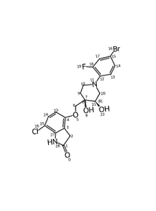 O=C1Cc2c(OC[C@]3(O)CCN(c4ccc(Br)cc4F)C[C@H]3O)ccc(Cl)c2N1